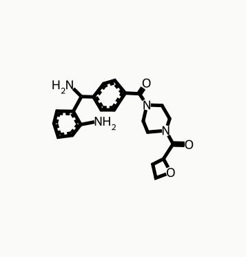 Nc1ccccc1C(N)c1ccc(C(=O)N2CCN(C(=O)C3CCO3)CC2)cc1